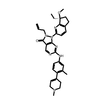 C=CCn1c(=O)c2cnc(Nc3ccc(C4=CCN(C)CC4)c(C)c3)nc2n1-c1ccc2c(n1)[C@@](CC)(OC)CC2